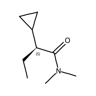 CC[C@H](C(=O)N(C)C)C1CC1